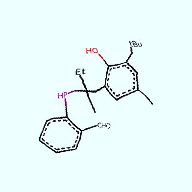 CCC(C)(Pc1ccccc1C=O)c1cc(C)cc(C(C)(C)C)c1O